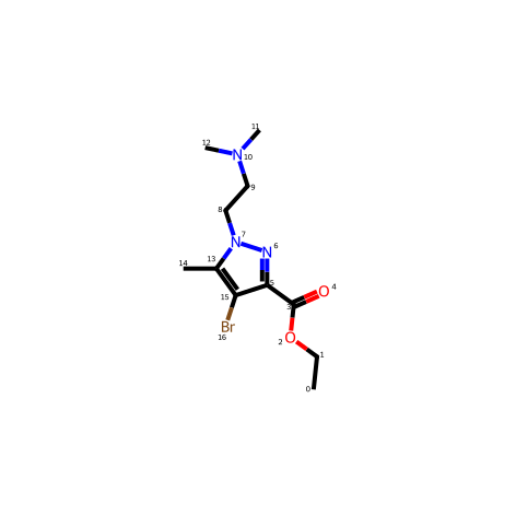 CCOC(=O)c1nn(CCN(C)C)c(C)c1Br